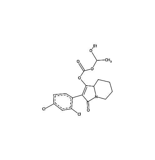 CCOC(C)OC(=O)OC1=C(c2ccc(Cl)cc2Cl)C(=O)N2CCCCC12